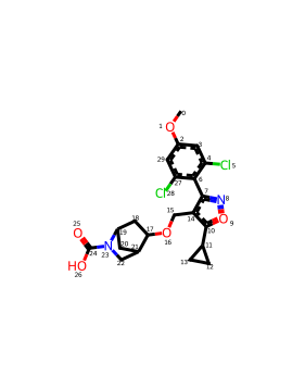 COc1cc(Cl)c(-c2noc(C3CC3)c2COC2CC3CC2CN3C(=O)O)c(Cl)c1